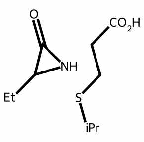 CC(C)SCCC(=O)O.CCC1NC1=O